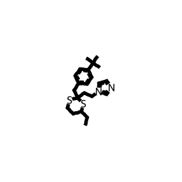 CCC1CCSC(CCn2ccnc2)(Cc2ccc(C(C)(C)C)cc2)S1